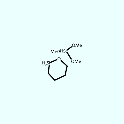 C1CC[SiH2]OC1.CO[SiH](OC)OC